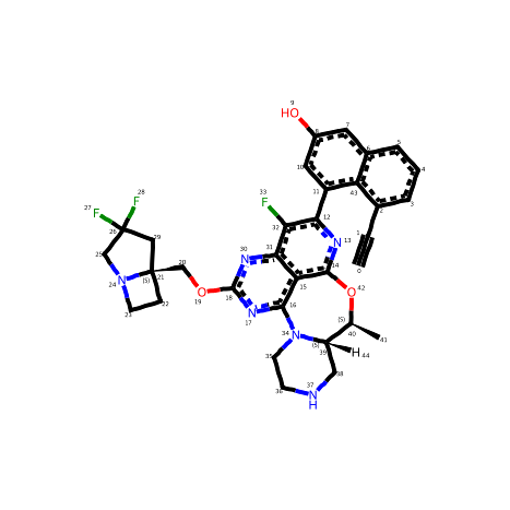 C#Cc1cccc2cc(O)cc(-c3nc4c5c(nc(OC[C@@]67CCN6CC(F)(F)C7)nc5c3F)N3CCNC[C@H]3[C@H](C)O4)c12